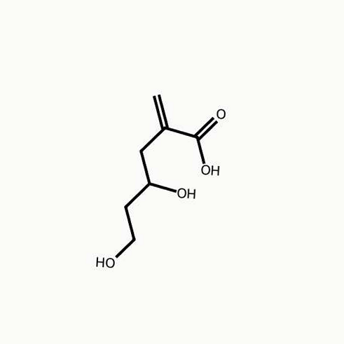 C=C(CC(O)CCO)C(=O)O